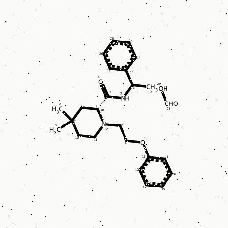 CC(NC(=O)[C@H]1CC(C)(C)CCN1CCOc1ccccc1)c1ccccc1.O=CO